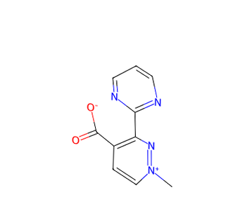 C[n+]1ccc(C(=O)[O-])c(-c2ncccn2)n1